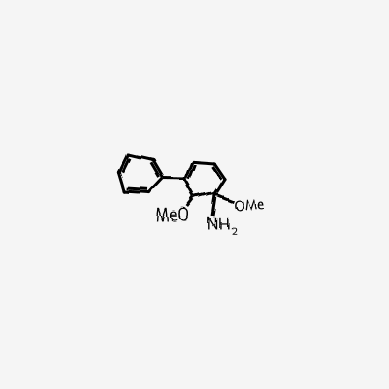 COC1C(c2ccccc2)=CC=CC1(N)OC